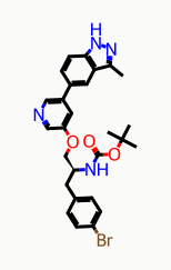 Cc1n[nH]c2ccc(-c3cncc(OC[C@H](Cc4ccc(Br)cc4)NC(=O)OC(C)(C)C)c3)cc12